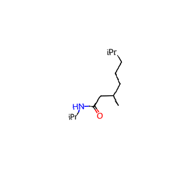 CC(C)CCCC(C)CC(=O)NC(C)C